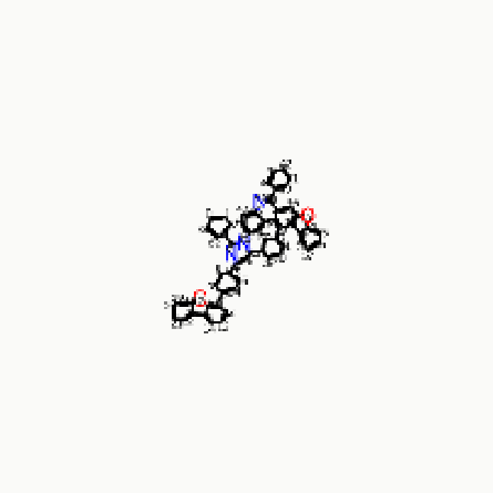 c1ccc(-c2nc(-c3ccc(-c4cccc5c4oc4ccccc45)cc3)cc(-c3cccc(-c4c5c(cc6c(-c7ccccc7)nc7ccccc7c46)oc4ccccc45)c3)n2)cc1